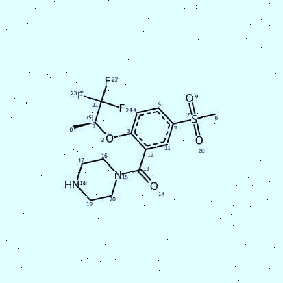 C[C@H](Oc1ccc(S(C)(=O)=O)cc1C(=O)N1CCNCC1)C(F)(F)F